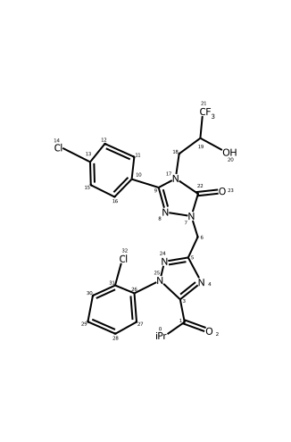 CC(C)C(=O)c1nc(Cn2nc(-c3ccc(Cl)cc3)n(CC(O)C(F)(F)F)c2=O)nn1-c1ccccc1Cl